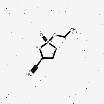 C#CC1CSP(=O)(OCC)S1